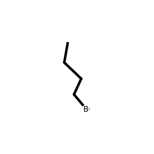 [B]CCCC